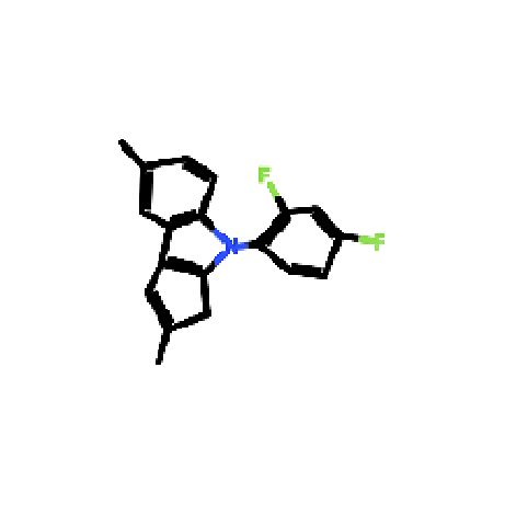 CC1=Cc2c(n(-c3ccc(F)cc3F)c3ccc(C)cc23)C1